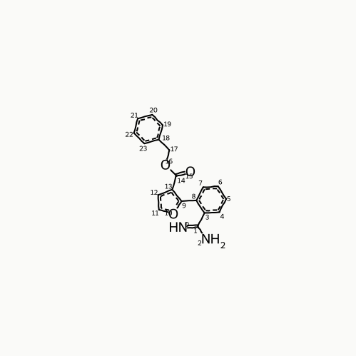 N=C(N)c1ccccc1-c1occc1C(=O)OCc1ccccc1